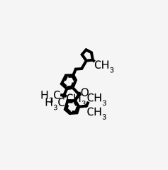 CC(C)c1ccccc1C(=O)c1cc(CCC2CCCC2C)ccc1C(C)(C)C